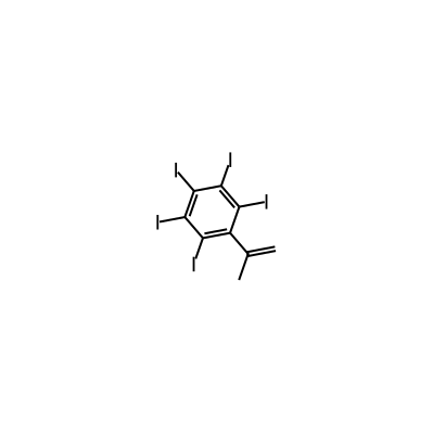 C=C(C)c1c(I)c(I)c(I)c(I)c1I